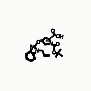 C=CCn1c(O[C@@H]2C[C@@H](C(=O)O)N(C(=O)OC(C)(C)C)C2)nc2ccccc21